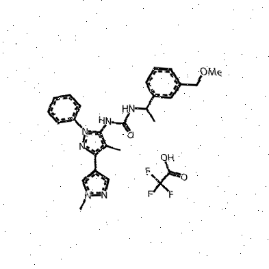 COCc1cccc(C(C)NC(=O)Nc2c(C)c(-c3cnn(C)c3)nn2-c2ccccc2)c1.O=C(O)C(F)(F)F